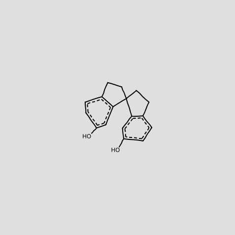 Oc1ccc2c(c1)C1(CC2)CCc2ccc(O)cc21